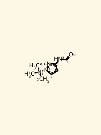 C[N+](C)(C)n1ccc(NC=O)n1